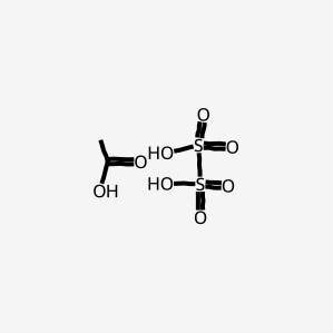 CC(=O)O.O=S(=O)(O)S(=O)(=O)O